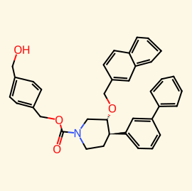 O=C(OCc1ccc(CO)cc1)N1CC[C@H](c2cccc(-c3ccccc3)c2)[C@@H](OCc2ccc3ccccc3c2)C1